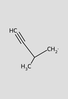 C#CC([CH2])C